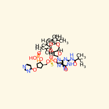 CC(C)C(=O)Nc1nc2c(ncn2[C@@H]2O[C@@H]3CO[Si](C(C)C)(C(C)C)O[Si](C(C)C)(C(C)C)O[C@H]3[C@H]2O[P@](=S)(OCCC#N)OC[C@H]2C[C@@H](Oc3ccncn3)C[C@@H]2O[PH](=O)O)c(=O)[nH]1